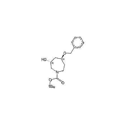 CC(C)(C)OC(=O)N1CC[C@H](OCc2ccccc2)C[C@@H](O)C1